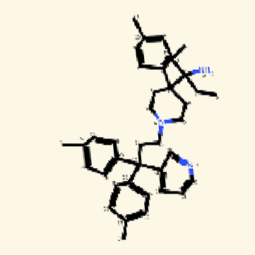 CCC(N)(CC)C1(c2ccc(C)cc2)CCN(CCC(c2ccc(C)cc2)(c2ccc(C)cc2)c2cccnc2)CC1